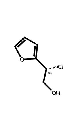 OC[C@@H](Cl)c1ccco1